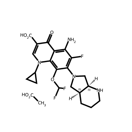 CC(=O)O.Nc1c(F)c(N2C[C@@H]3CCCN[C@@H]3C2)c(OC(F)F)c2c1c(=O)c(C(=O)O)cn2C1CC1